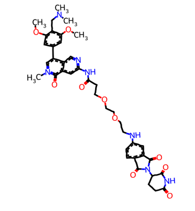 COc1cc(-c2cn(C)c(=O)c3cc(NC(=O)CCOCCOCCNc4ccc5c(c4)C(=O)N(C4CCC(=O)NC4=O)C5=O)ncc23)cc(OC)c1CN(C)C